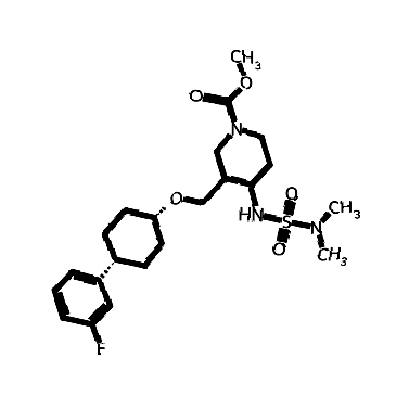 COC(=O)N1CCC(NS(=O)(=O)N(C)C)C(CO[C@H]2CC[C@@H](c3cccc(F)c3)CC2)C1